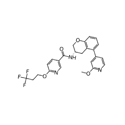 COc1cc(-c2cccc3c2C[C@H](NC(=O)c2ccc(OCCC(F)(F)F)nc2)CO3)ccn1